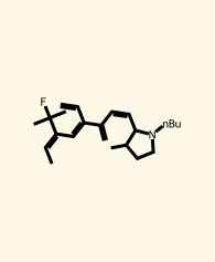 C=C/C(=C\C(=C/C)C(C)(C)F)C(=C)/C=C\C1C(C)CCN1CCCC